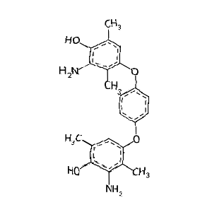 Cc1cc(Oc2ccc(Oc3cc(C)c(O)c(N)c3C)cc2)c(C)c(N)c1O